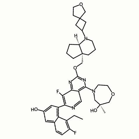 CCc1c(F)ccc2cc(O)cc(-c3ncc4c(N5CCOC[C@@](C)(O)C5)nc(OC[C@]56CCC[C@H]5N(C5CC7(CCOC7)C5)CCC6)nc4c3F)c12